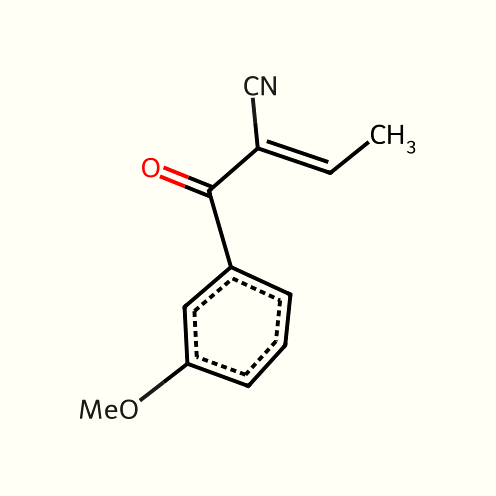 CC=C(C#N)C(=O)c1cccc(OC)c1